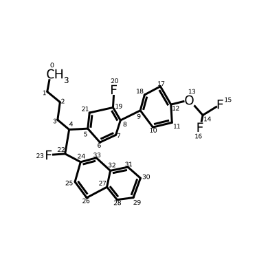 CCCCC(c1ccc(-c2ccc(OC(F)F)cc2)c(F)c1)C(F)c1ccc2ccccc2c1